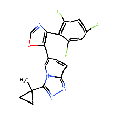 CC1(c2nnc3ccc(-c4ocnc4-c4c(F)cc(F)cc4F)cn23)CC1